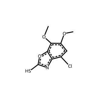 COc1cc(Cl)c2nc(S)oc2c1OC